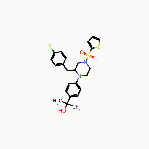 CC(O)(c1ccc(N2CCN(S(=O)(=O)c3cccs3)CC2Cc2ccc(F)cc2)cc1)C(F)(F)F